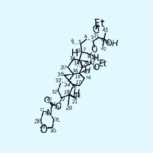 CCO[C@@H]([C@H]1C[C@@H](C)[C@H]2[C@H](O1)[C@H](OCC)[C@@]1(C)[C@@H]3CC[C@H]4C(C)(C)[C@@H](OC(=O)N5CCOCC5)CC[C@@]45C[C@@]35CC[C@]21C)C(C)(C)O